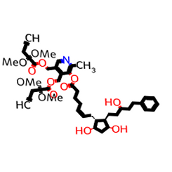 C#CCC(OC)(OC)C(=O)OCc1cnc(C)c(OC(=O)CCC/C=C\C[C@@H]2[C@@H](CCC(O)CCc3ccccc3)[C@H](O)C[C@@H]2O)c1COC(=O)C(CC#C)(OC)OC